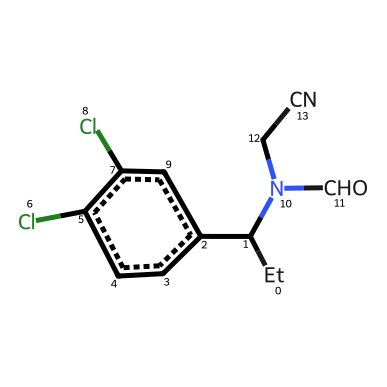 CCC(c1ccc(Cl)c(Cl)c1)N(C=O)CC#N